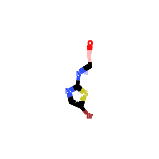 O=B/C=N/c1ncc(Br)s1